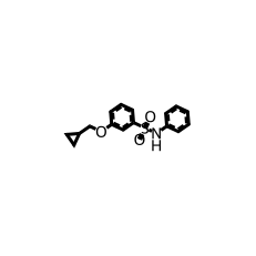 O=S(=O)(Nc1ccccc1)c1cccc(OCC2CC2)c1